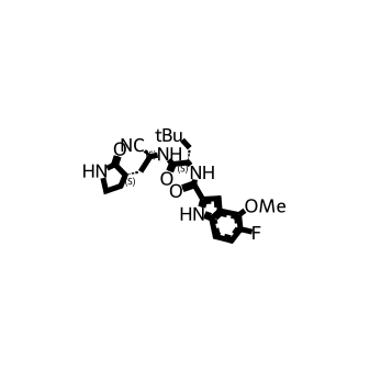 COc1c(F)ccc2[nH]c(C(=O)N[C@@H](CC(C)(C)C)C(=O)N[C@H](C#N)C[C@@H]3CCNC3=O)cc12